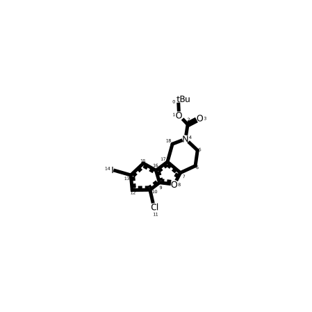 CC(C)(C)OC(=O)N1CCc2oc3c(Cl)cc(I)cc3c2C1